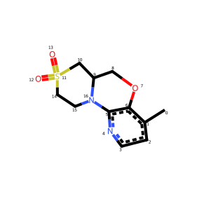 Cc1ccnc2c1OCC1CS(=O)(=O)CCN21